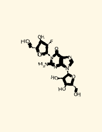 Nc1nc2c(ncn2[C@@H]2O[C@H](CO)[C@@H](O)[C@H]2O)c(=O)n1[C@@H]1O[C@H](CO)[C@@H](O)[C@@H]1F